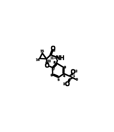 CS(=O)(=O)c1ccc2c(c1)NC(=O)C1(CC1)O2